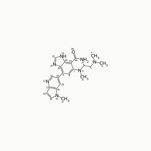 CN(C)CCN(C)c1cc(-c2cnc3ccn(C)c3c2)c2nc[nH]c2c1C(N)=O